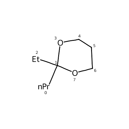 CCCC1(CC)OCCCO1